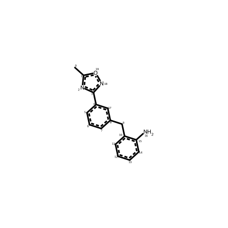 Cc1nc(-c2cccc(Cc3ccccc3N)c2)no1